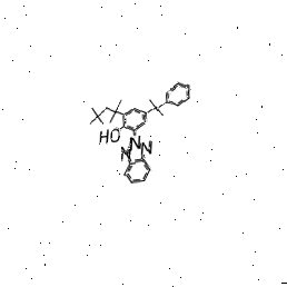 CC(C)(C)CC(C)(C)c1cc(C(C)(C)c2ccccc2)cc(-n2nc3ccccc3n2)c1O